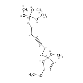 COC1C=CC(CCC#CCCCC(OC)(OC)OC)(OC)O1